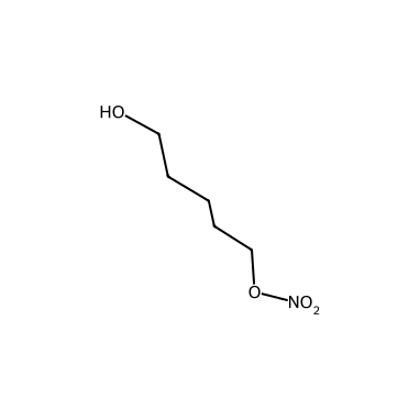 O=[N+]([O-])OCCCCCO